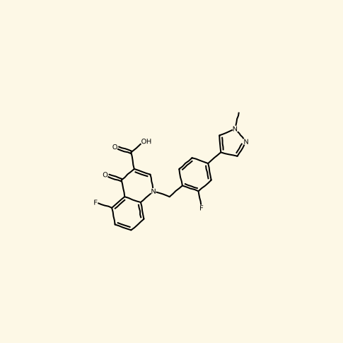 Cn1cc(-c2ccc(Cn3cc(C(=O)O)c(=O)c4c(F)cccc43)c(F)c2)cn1